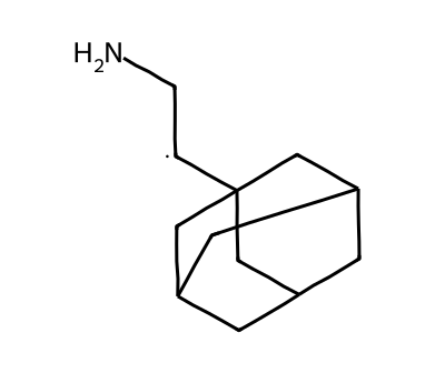 NC[CH]C12CC3CC(CC(C3)C1)C2